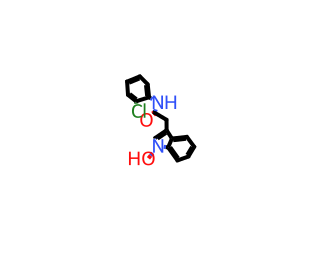 O=C(Cc1cn(O)c2ccccc12)Nc1ccccc1Cl